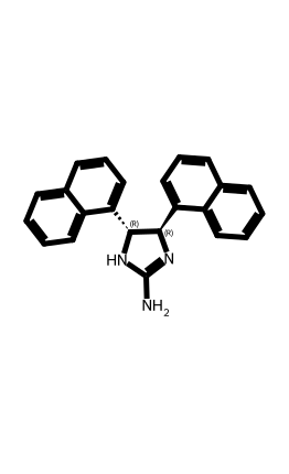 NC1=N[C@H](c2cccc3ccccc23)[C@@H](c2cccc3ccccc23)N1